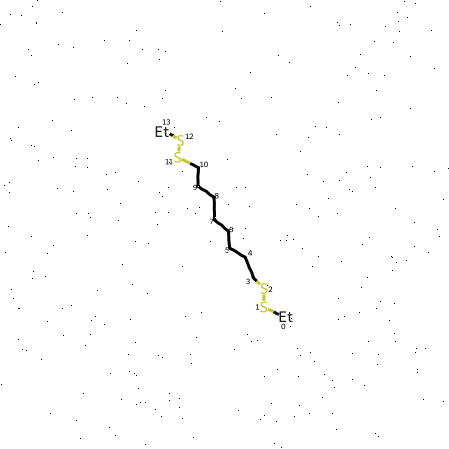 CCSSCCCCCCCCSSCC